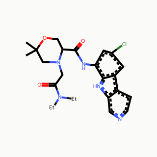 CCN(CC)C(=O)CN1CC(C)(C)OCC1C(=O)Nc1cc(Cl)cc2c1[nH]c1cnccc12